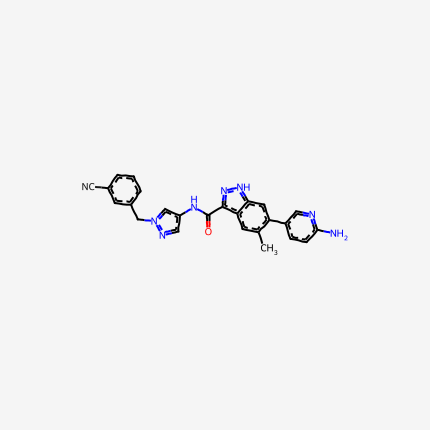 Cc1cc2c(C(=O)Nc3cnn(Cc4cccc(C#N)c4)c3)n[nH]c2cc1-c1ccc(N)nc1